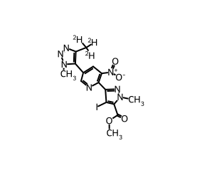 [2H]C([2H])([2H])c1nnn(C)c1-c1cnc(-c2nn(C)c(C(=O)OC)c2I)c([N+](=O)[O-])c1